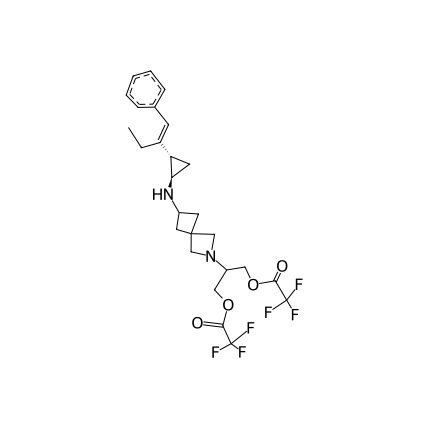 CC/C(=C\c1ccccc1)[C@@H]1C[C@H]1NC1CC2(C1)CN(C(COC(=O)C(F)(F)F)COC(=O)C(F)(F)F)C2